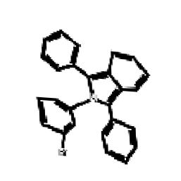 Brc1cccc(-n2c(-c3ccccc3)c3ccccc3c2-c2ccccc2)c1